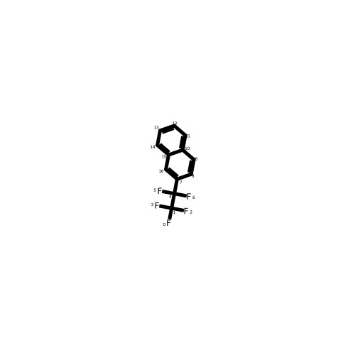 FC(F)(F)C(F)(F)c1c[c]c2ccccc2c1